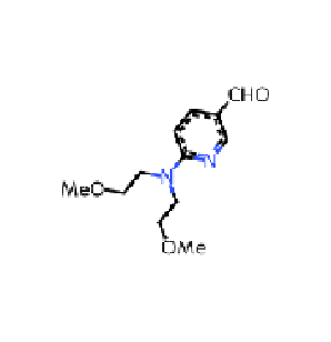 COCCN(CCOC)c1ccc(C=O)cn1